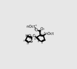 CCCCCCCCOC(=O)c1c(CCCCCCCC)cccc1C(=O)O.c1ccsc1